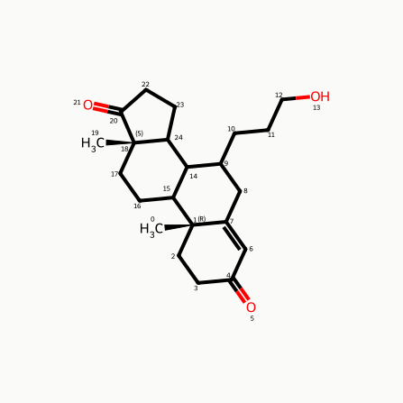 C[C@]12CCC(=O)C=C1CC(CCCO)C1C2CC[C@]2(C)C(=O)CCC12